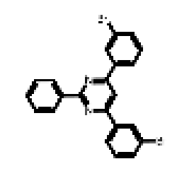 Brc1cccc(-c2cc(-c3cccc(Br)c3)nc(-c3ccccc3)n2)c1